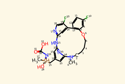 CN1CCCCOc2cc(F)ccc2-c2cc(ncc2F)Nc2cc(C[SH](C)(O)=NC(=O)O)cc1n2